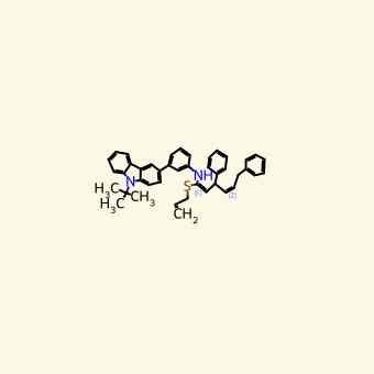 C=CCS/C(=C/C(/C=C\Cc1ccccc1)c1ccccc1)Nc1cccc(-c2ccc3c(c2)c2ccccc2n3C(C)(C)C)c1